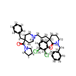 O=C(N1CCCC1)C1(Cc2ccccc2)CCN(CCCC2(c3ccc(Cl)c(Cl)c3)CCCN(Cc3ccccc3)C2=O)CC1